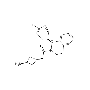 N[C@H]1C[C@@H](CC(=O)N2CCc3ccccc3[C@@H]2c2ccc(F)cc2)C1